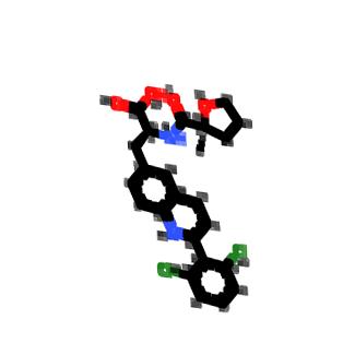 C[C@@]1(C(=O)N[C@@H](Cc2ccc3nc(-c4c(Cl)cccc4Cl)ccc3c2)C(=O)O)CCCO1